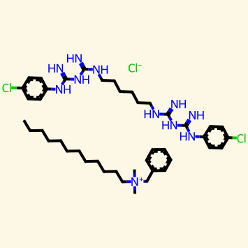 CCCCCCCCCCCC[N+](C)(C)Cc1ccccc1.N=C(NCCCCCCNC(=N)NC(=N)Nc1ccc(Cl)cc1)NC(=N)Nc1ccc(Cl)cc1.[Cl-]